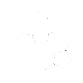 CCNC(=O)C1(C(=O)ON2C(=O)CCC2=O)CCC1